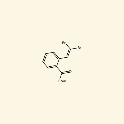 COC(=O)c1ccccc1C=C(Br)Br